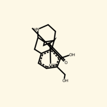 COC1CC2C3Cc4ccc(CO)c(O)c4C2(CCN3)CC1=O